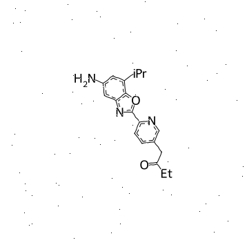 CCC(=O)Cc1ccc(-c2nc3cc(N)cc(C(C)C)c3o2)nc1